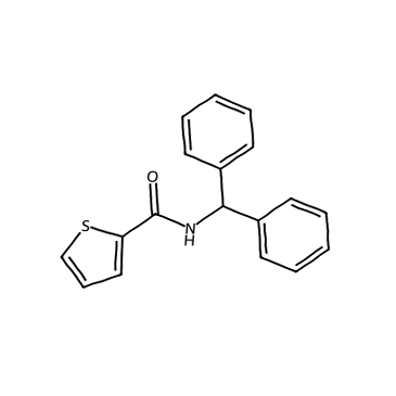 O=C(NC(c1ccccc1)c1ccccc1)c1cccs1